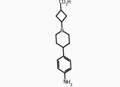 Nc1ccc(C2CCN(C3CC(C(=O)O)C3)CC2)cc1